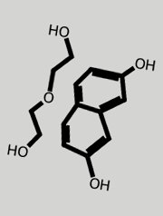 OCCOCCO.Oc1ccc2ccc(O)cc2c1